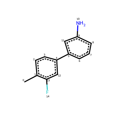 Cc1ccc(-c2cccc(N)c2)cc1F